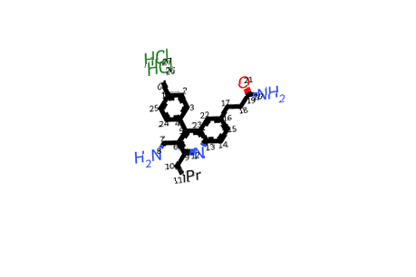 Cc1ccc(-c2c(CN)c(CC(C)C)nc3ccc(CCC(N)=O)cc23)cc1.Cl.Cl